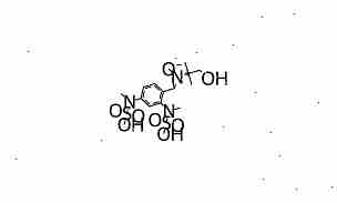 CN(c1ccc(C=[N+]([O-])C(C)(C)CO)c(N(C)S(=O)(=O)O)c1)S(=O)(=O)O